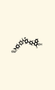 C=C(OC(C)(C)C)c1ccc(N2CCN(C(C)c3ccc(-c4ccc(-c5cc(C)c(O)c6ccccc56)cc4)cc3F)CC2)cc1